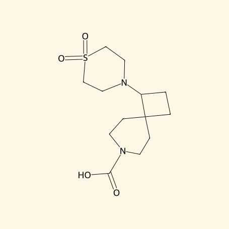 O=C(O)N1CCC2(CCC2N2CCS(=O)(=O)CC2)CC1